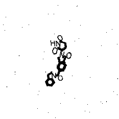 O=C1CCC(N2Cc3cc(C(=O)N4CCc5ccccc54)ccc3C2=O)C(=O)N1